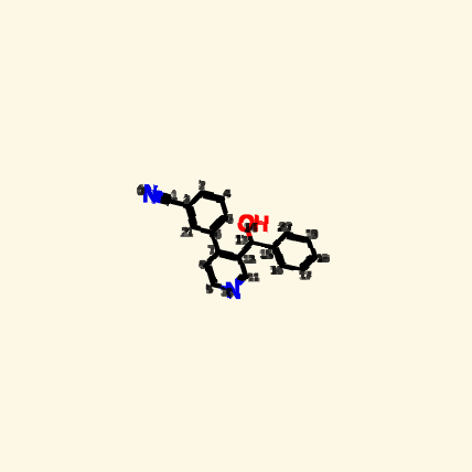 N#Cc1cccc(-c2ccncc2C(O)c2ccccc2)c1